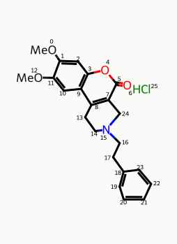 COc1cc2oc(=O)c3c(c2cc1OC)CCN(CCc1ccccc1)C3.Cl